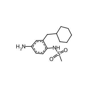 CS(=O)(=O)Nc1ccc(N)cc1CC1CCCCC1